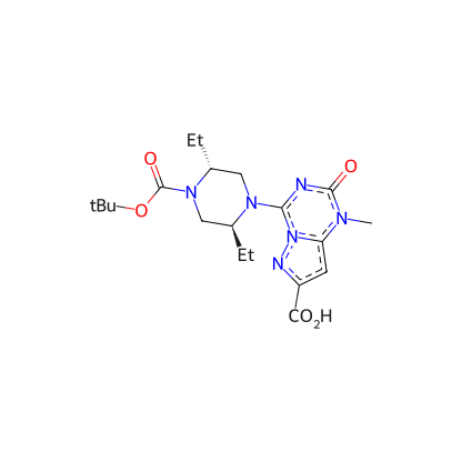 CC[C@@H]1CN(c2nc(=O)n(C)c3cc(C(=O)O)nn23)[C@@H](CC)CN1C(=O)OC(C)(C)C